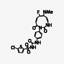 CNc1cc[nH]c(=O)n(-c2ccc(NC(=O)NS(=O)(=O)c3ccc(Cl)s3)cc2)c(=O)ccc1F